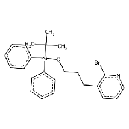 CC(C)(C)[Si](OCCCc1cccnc1Br)(c1ccccc1)c1ccccc1